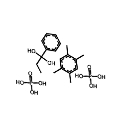 CCC(O)(O)c1ccccc1.Cc1cc(C)c(C)cc1C.O=P(O)(O)O.O=P(O)(O)O